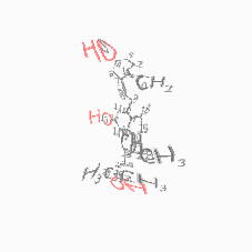 C=C1CC[C@H](O)C/C1=C/C=C1CC(O)C[C@@]2(C)C1CC[C@@H]2[C@H](C)CCCC(C)(C)O